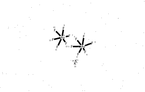 F[As-](F)(F)(F)(F)F.F[As-](F)(F)(F)(F)F.[K+].[K+]